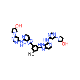 N#Cc1cc(-c2nc3ccnc(Nc4cc(N5CCC(O)C5)ncn4)c3[nH]2)cc(-c2nc3ccnc(Nc4cc(N5CCC(O)C5)ncn4)c3[nH]2)c1